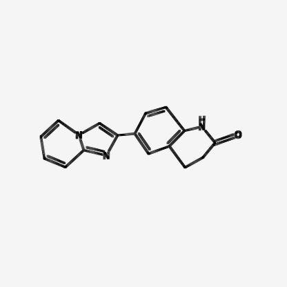 O=C1CCc2cc(-c3cn4ccccc4n3)ccc2N1